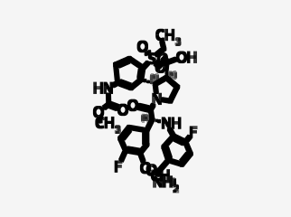 CCS(=O)(=O)c1ccc(NC(=O)OC)cc1[C@@H]1[C@@H](C(=O)O)CCN1C(=O)[C@H](Nc1cc(C(N)=O)ccc1F)c1ccc(F)c(OC)c1